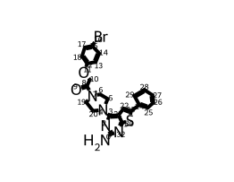 Nc1nc(N2CCN(C(=O)COc3ccc(Br)cc3)CC2)c2cc(-c3ccccc3)sc2n1